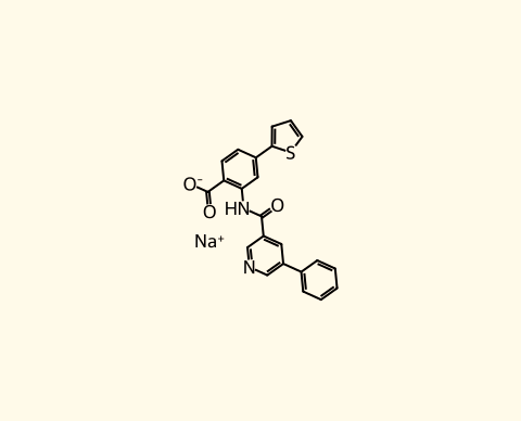 O=C(Nc1cc(-c2cccs2)ccc1C(=O)[O-])c1cncc(-c2ccccc2)c1.[Na+]